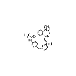 CC(=O)Nc1ccc(Cc2cccc(C=CC3=NCCN(C)c4ccccc43)c2)cc1.Cl